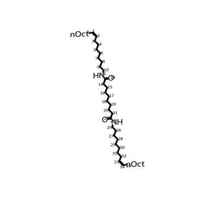 CCCCCCCC/C=C\CCCCCCCCNC(=O)CCCCCCCCC(=O)NCCCCCCCC/C=C\CCCCCCCC